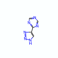 c1ncnc(-c2c[nH]nn2)n1